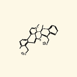 Cc1ccc2c(cc3c4c([n+](C)ccc42)-c2c(c(CC(C)(C)C)c4ccccc4c2C)S3)c1CC(C)(C)C